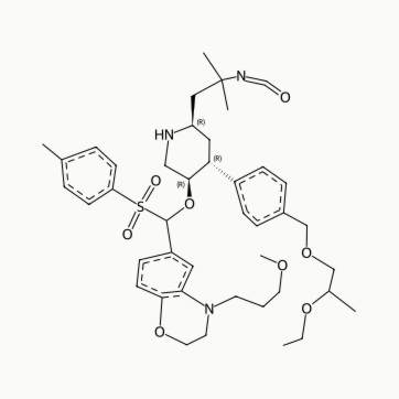 CCOC(C)COCc1ccc([C@H]2C[C@H](CC(C)(C)N=C=O)NC[C@@H]2OC(c2ccc3c(c2)N(CCCOC)CCO3)S(=O)(=O)c2ccc(C)cc2)cc1